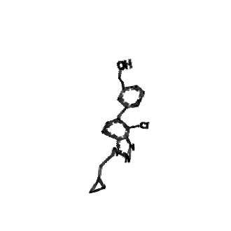 OCc1cccc(-c2ccc3c(nnn3CC3CC3)c2Cl)c1